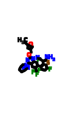 CCC12CC(COc3nc(N4CC5CCC(C4)N5)c4cc(C(F)(F)F)c(-c5ccc(F)c6sc(N)c(C#N)c56)c(F)c4n3)(CO1)C2